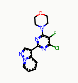 Fc1c(Cl)nc(-c2cnn3ccccc23)nc1N1CCOCC1